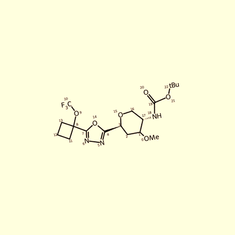 COC1C[C@@H](c2nnc(C3(OC(F)(F)F)CCC3)o2)OC[C@@H]1NC(=O)OC(C)(C)C